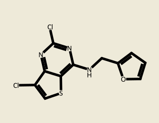 Clc1nc(NCc2ccco2)c2scc(Cl)c2n1